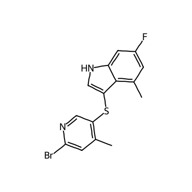 Cc1cc(Br)ncc1Sc1c[nH]c2cc(F)cc(C)c12